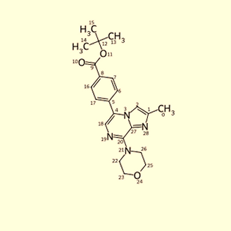 Cc1cn2c(-c3ccc(C(=O)OC(C)(C)C)cc3)cnc(N3CCOCC3)c2n1